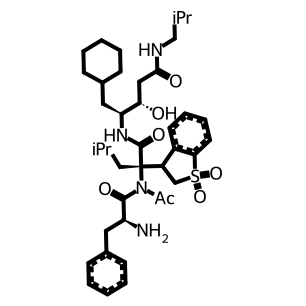 CC(=O)N(C(=O)[C@@H](N)Cc1ccccc1)[C@](CC(C)C)(C(=O)N[C@@H](CC1CCCCC1)[C@@H](O)CC(=O)NCC(C)C)C1CS(=O)(=O)c2ccccc21